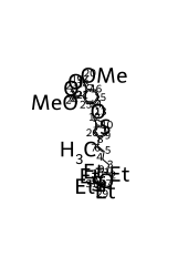 CCC(CC)(CC/C=C(\C)c1csc(COc2ccc(C(=O)OC)c(C(=O)OC)c2)c1)O[Si](CC)(CC)CC